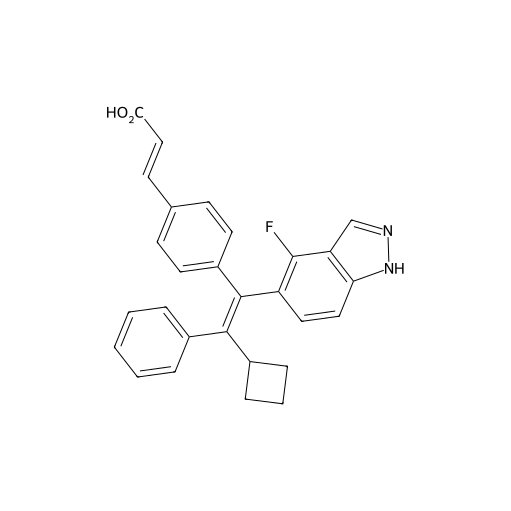 O=C(O)C=Cc1ccc(C(=C(c2ccccc2)C2CCC2)c2ccc3[nH]ncc3c2F)cc1